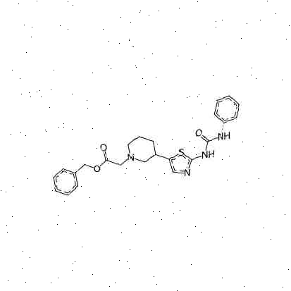 O=C(Nc1ccccc1)Nc1ncc(C2CCCN(CC(=O)OCc3ccccc3)C2)s1